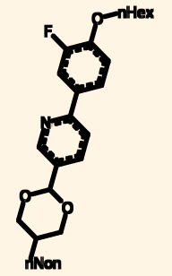 CCCCCCCCCC1COC(c2ccc(-c3ccc(OCCCCCC)c(F)c3)nc2)OC1